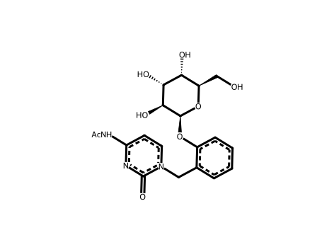 CC(=O)Nc1ccn(Cc2ccccc2O[C@@H]2O[C@H](CO)[C@@H](O)[C@@H](O)[C@@H]2O)c(=O)n1